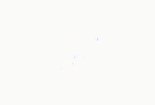 CC(C)(C)OC(=O)NNC1CCNCC1.CC(C)OC=O